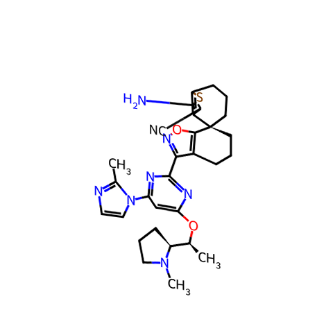 Cc1nccn1-c1cc(O[C@@H](C)[C@@H]2CCCN2C)nc(-c2noc3c2CCC[C@@]32CCCc3sc(N)c(C#N)c32)n1